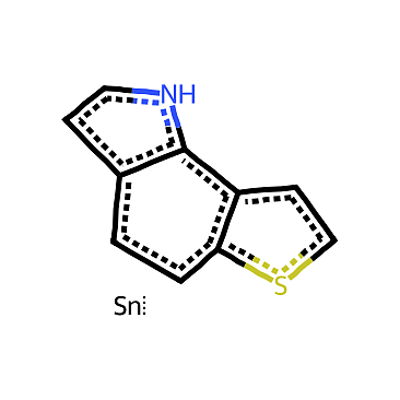 [Sn].c1cc2ccc3sccc3c2[nH]1